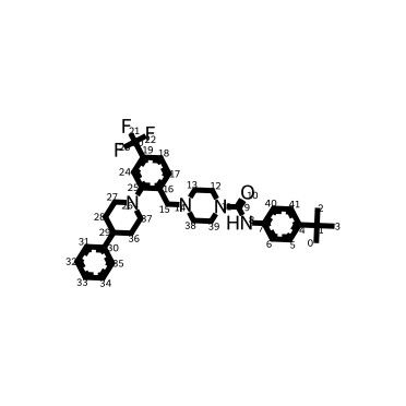 CC(C)(C)c1ccc(NC(=O)N2CCN(Cc3ccc(C(F)(F)F)cc3N3CCC(c4ccccc4)CC3)CC2)cc1